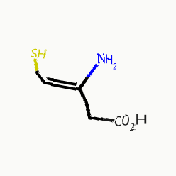 N/C(=C\S)CC(=O)O